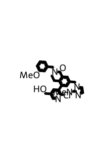 CNc1nccn1Cc1cc2c(c(-c3cc(CO)cnc3Cl)c1)CCN(Cc1cccc(OC)c1)C2=O